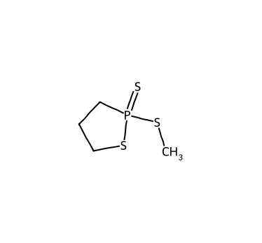 CSP1(=S)CCCS1